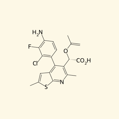 C=C(C)O[C@H](C(=O)O)c1c(C)nc2sc(C)cc2c1-c1ccc(N)c(F)c1Cl